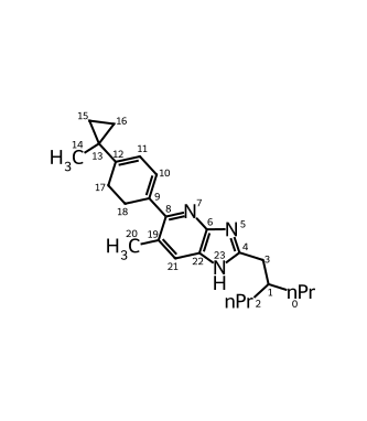 CCCC(CCC)Cc1nc2nc(C3=CC=C(C4(C)CC4)CC3)c(C)cc2[nH]1